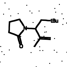 C=C(C)C(CC(C)(C)C)N1CCCC1=O